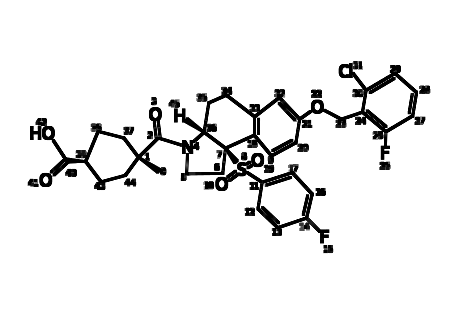 C[C@]1(C(=O)N2CC[C@@]3(S(=O)(=O)c4ccc(F)cc4)c4ccc(OCc5c(F)cccc5Cl)cc4CC[C@@H]23)CC[C@H](C(=O)O)CC1